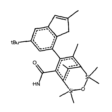 CC1=Cc2cc(C(C)(C)C)cc(-c3c(C)c4c(C)c(c3C([NH])=O)[Si](C)(C)O[Si]4(C)C)c2C1